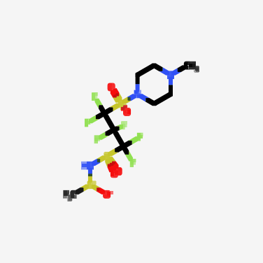 CN1CCN(S(=O)(=O)C(F)(F)C(F)(F)C(F)(F)S(=O)(=O)N[S+]([O-])C(F)(F)F)CC1